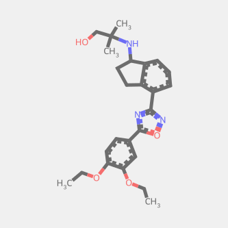 CCOc1ccc(-c2nc(-c3cccc4c3CCC4NC(C)(C)CO)no2)cc1OCC